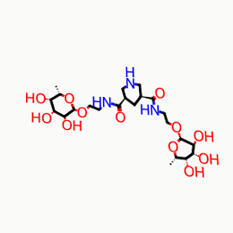 C[C@@H]1O[C@@H](OCCNC(=O)[C@@H]2CNC[C@H](C(=O)NCCO[C@@H]3O[C@@H](C)[C@@H](O)[C@@H](O)[C@@H]3O)C2)[C@@H](O)[C@H](O)[C@@H]1O